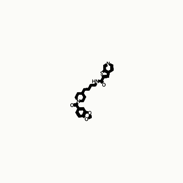 O=C(NCCCCC1CCN(C(=O)c2ccc3c(c2)OCO3)CC1)c1cc2ccncc2s1